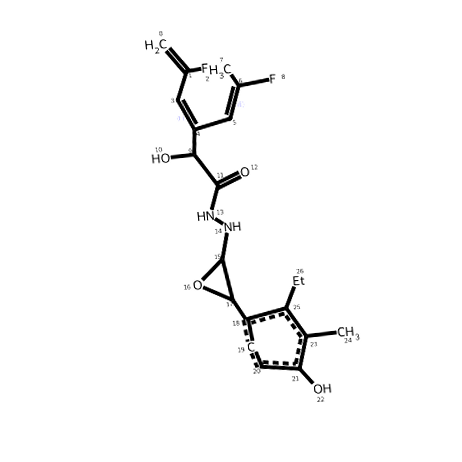 C=C(F)/C=C(\C=C(/C)F)C(O)C(=O)NNC1OC1c1ccc(O)c(C)c1CC